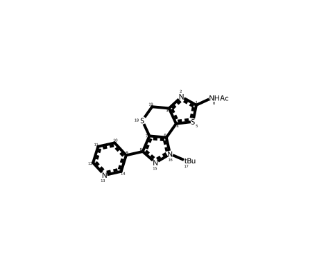 CC(=O)Nc1nc2c(s1)-c1c(c(-c3cccnc3)nn1C(C)(C)C)SC2